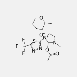 CC(=O)OC1N(C)CC[N+]1([O-])c1nnc(C(F)(F)F)s1.CC1CCCCO1